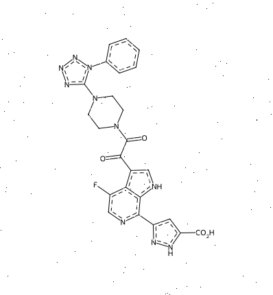 O=C(O)c1cc(-c2ncc(F)c3c(C(=O)C(=O)N4CCN(c5nnnn5-c5ccccc5)CC4)c[nH]c23)n[nH]1